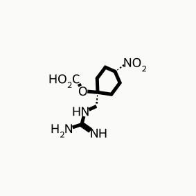 N=C(N)NC[C@]1(OC(=O)O)CC[C@H]([N+](=O)[O-])CC1